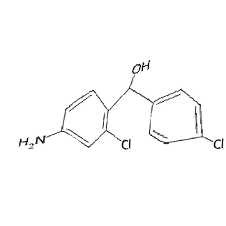 Nc1ccc(C(O)c2ccc(Cl)cc2)c(Cl)c1